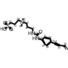 C[N+](C)(CCCNC(=O)Nc1ccc(C#CC#N)cc1)CCCS(=O)(=O)O